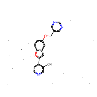 N#Cc1cnccc1-c1cc2cc(OCc3cncnc3)ccc2o1